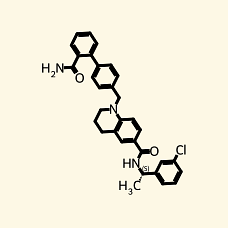 C[C@H](NC(=O)c1ccc2c(c1)CCCN2Cc1ccc(-c2ccccc2C(N)=O)cc1)c1cccc(Cl)c1